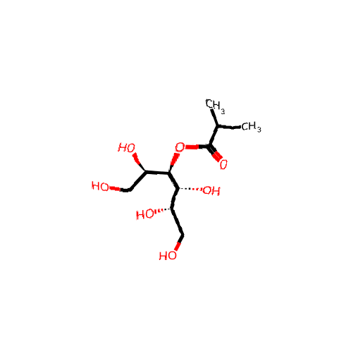 CC(C)C(=O)O[C@@H]([C@H](O)[C@@H](O)CO)[C@H](O)CO